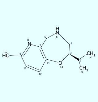 CC(C)[C@@H]1CNCc2nc(O)ccc2O1